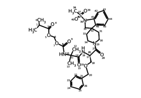 CC(C)C(=O)OCOC(=O)NC(C)(C)C(=O)N[C@H](COCc1ccccc1)C(=O)N1CCC2(CC1)CN(S(C)(=O)=O)c1ccccc12